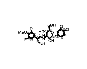 COc1c(F)cc(/C(=C/NC2C(O)[C@@H](Sc3ccc(Cl)c(Cl)c3)OC(CO)[C@@H]2O)N=N)cc1F